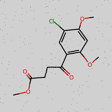 COC(=O)CCC(=O)c1cc(Cl)c(OC)cc1OC